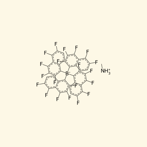 C[NH3+].Fc1ccc2c([B-](c3c(F)c(F)c(F)c4c(F)c(F)ccc34)(c3c(F)c(F)c(F)c4c(F)c(F)ccc34)c3c(F)c(F)c(F)c4c(F)c(F)ccc34)c(F)c(F)c(F)c2c1F